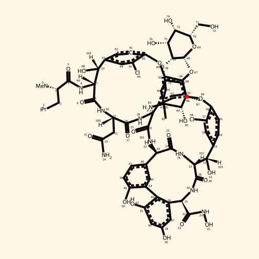 CN[C@@H](CC(C)C)C(=O)N[C@H]1C(=O)N[C@@H](CC(N)=O)C(=O)NC2C(=O)N[C@@H]3C(=O)N[C@@H](C(=O)N[C@@H](C(=O)NO)c4cc(O)cc(O)c4-c4cc3ccc4O)[C@@H](O)c3ccc(c(Cl)c3)Oc3cc2cc(c3O[C@H]2O[C@@H](CO)[C@@H](O)[C@@H](O)[C@H]2O[C@H]2CC(C)(N)[C@@H](O)[C@@H](C)O2)Oc2ccc(cc2Cl)[C@H]1O